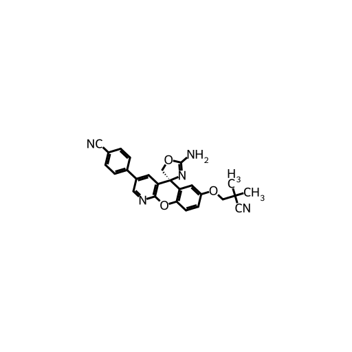 CC(C)(C#N)COc1ccc2c(c1)[C@@]1(COC(N)=N1)c1cc(-c3ccc(C#N)cc3)cnc1O2